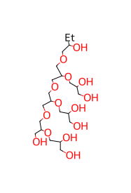 CCC(O)COCC(COCC(COCC(CO)OCC(O)CO)OCC(O)CO)OCC(O)CO